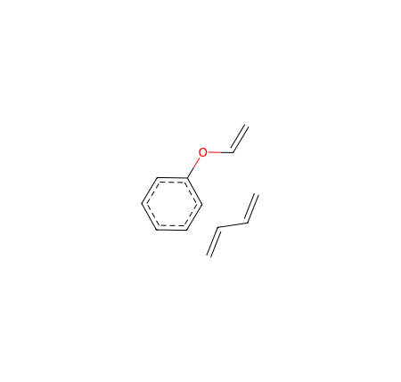 C=CC=C.C=COc1ccccc1